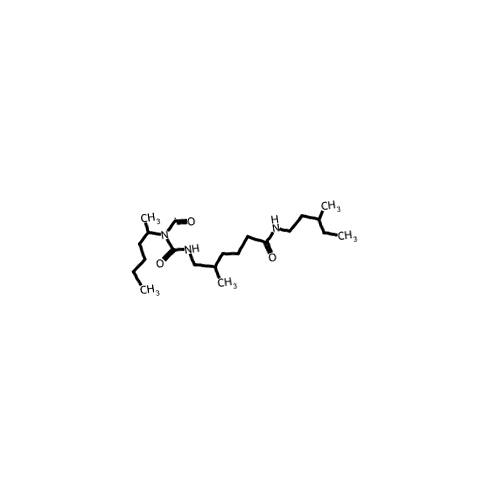 CCCCC(C)N([C]=O)C(=O)NCC(C)CCCC(=O)NCCC(C)CC